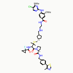 CNc1nc(Nc2ccc(C(=O)NCCNCC3CC[C@H](CSC(C)(C)C(NC(=O)C4(F)CC4)C(=O)N4CCC[C@H]4C(=O)NCc4ccc(-c5scnc5C)cc4)C3)cc2OC)ncc1Cl